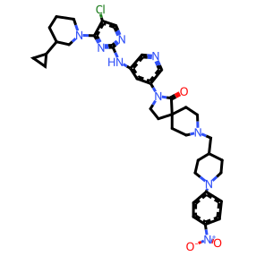 O=C1N(c2cncc(Nc3ncc(Cl)c(N4CCCC(C5CC5)C4)n3)c2)CCC12CCN(CC1CCN(c3ccc([N+](=O)[O-])cc3)CC1)CC2